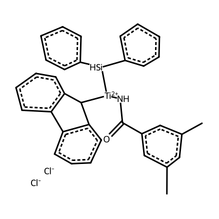 Cc1cc(C)cc(C(=O)[NH][Ti+2]([CH]2c3ccccc3-c3ccccc32)[SiH](c2ccccc2)c2ccccc2)c1.[Cl-].[Cl-]